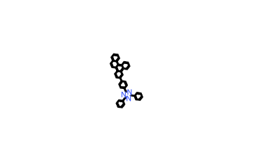 c1ccc(-c2nc(-c3ccccc3)nc(-c3ccc(-c4ccc5c(c4)c4ccccc4c4c6ccccc6ccc54)cc3)n2)cc1